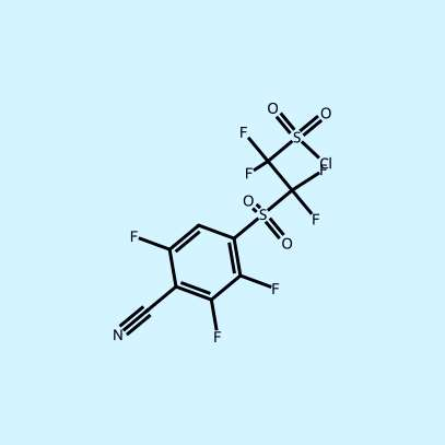 N#Cc1c(F)cc(S(=O)(=O)C(F)(F)C(F)(F)S(=O)(=O)Cl)c(F)c1F